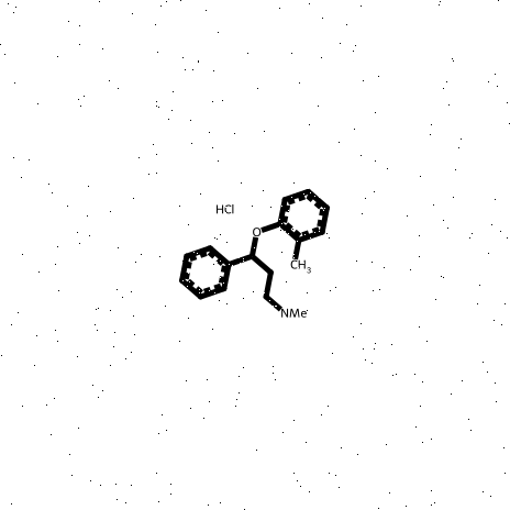 CNCCC(Oc1ccccc1C)c1ccccc1.Cl